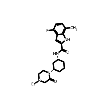 CCN1CCN([C@H]2CCC[C@@H](NC(=O)c3cc4c(F)ccc(C)c4[nH]3)C2)C(=O)C1